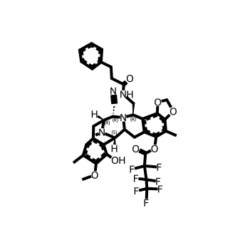 COc1c(C)cc2c(c1O)[C@H]1C3Cc4c(OC(=O)C(F)(F)C(F)(F)C(F)(F)F)c(C)c5c(c4[C@H](CNC(=O)CCc4ccccc4)N3[C@@H](C#N)[C@@H](C2)N1C)OCO5